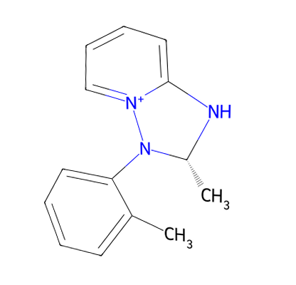 Cc1ccccc1N1[C@@H](C)Nc2cccc[n+]21